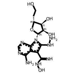 N=C(NO)c1c(NN)n([C@@H]2O[C@H](CCO)[C@@H](O)[C@H]2O)c2ncnc(N)c12